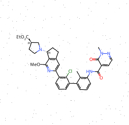 CCOC(=O)[C@@H]1CCN([C@@H]2CCc3cc(-c4cccc(-c5cccc(NC(=O)c6ccnn(C)c6=O)c5C)c4Cl)nc(OC)c32)C1